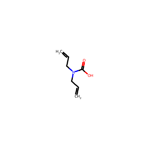 C=CCN(CC=C)C(=O)O